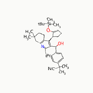 CC(C)c1nc2c(c([C@@H]3CCC=C3O[Si](C)(C)C(C)(C)C)c1[C@@H](O)c1ccc(C(C)(C)C#N)cc1)CCC(C)(C)C2